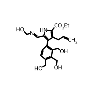 C=CCc1c(C(=O)OCC)[nH]c(/C=N/CO)c1-c1ccc(CO)c(CO)c1CO